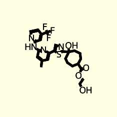 Cc1cc(Nc2cc(C(F)(F)F)ccn2)nc(-c2cnc(C3(O)CCCC(C(=O)OCCO)CCC3)s2)c1